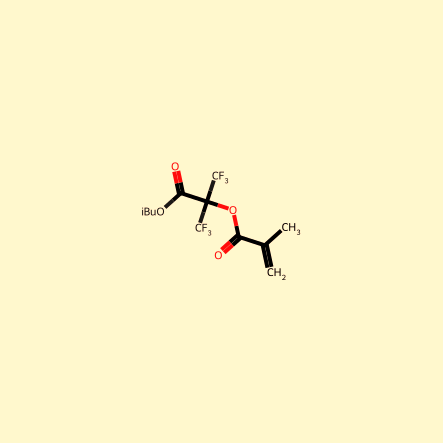 C=C(C)C(=O)OC(C(=O)OCC(C)C)(C(F)(F)F)C(F)(F)F